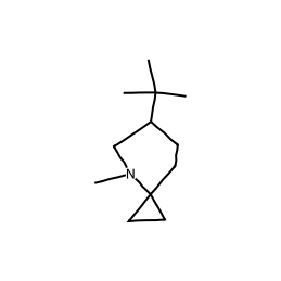 CN1CC(C(C)(C)C)CCC12CC2